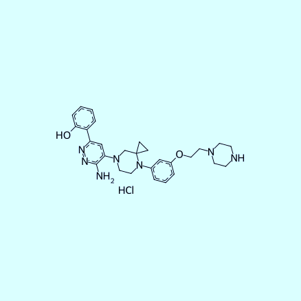 Cl.Nc1nnc(-c2ccccc2O)cc1N1CCN(c2cccc(OCCN3CCNCC3)c2)C2(CC2)C1